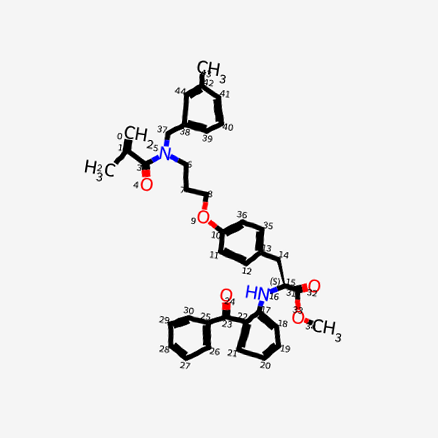 C=C(C)C(=O)N(CCCOc1ccc(C[C@H](Nc2ccccc2C(=O)c2ccccc2)C(=O)OC)cc1)Cc1cccc(C)c1